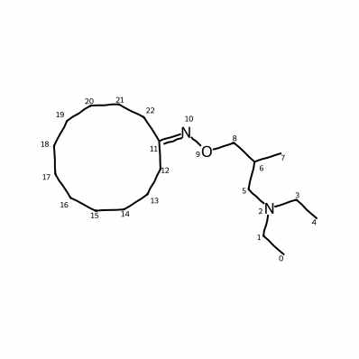 CCN(CC)CC(C)CON=C1CCCCCCCCCCC1